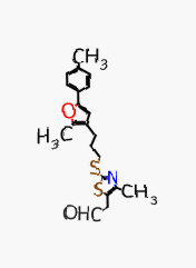 Cc1ccc(-c2cc(CCCSc3nc(C)c(CC=O)s3)c(C)o2)cc1